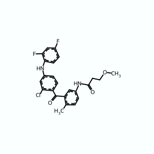 COCCC(=O)Nc1ccc(C)c(C(=O)c2ccc(Nc3ccc(F)cc3F)cc2Cl)c1